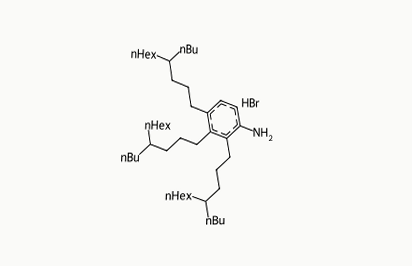 Br.CCCCCCC(CCCC)CCCc1ccc(N)c(CCCC(CCCC)CCCCCC)c1CCCC(CCCC)CCCCCC